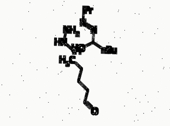 CC(C)NN.CCCCC(O)N=NC(C)C.CCCCC=O